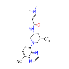 CN(C)/C=C/C(=O)N[C@@H]1C[C@H](C(F)(F)F)CN(c2ccc(C#N)c3nccnc23)C1